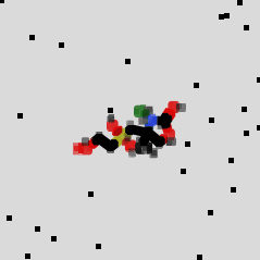 CC1(CS(=O)(=O)CCO)COC(=O)N1Cl